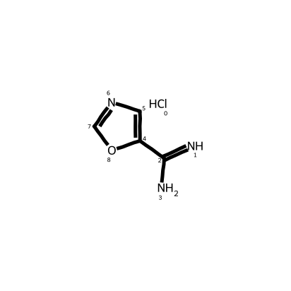 Cl.N=C(N)c1cnco1